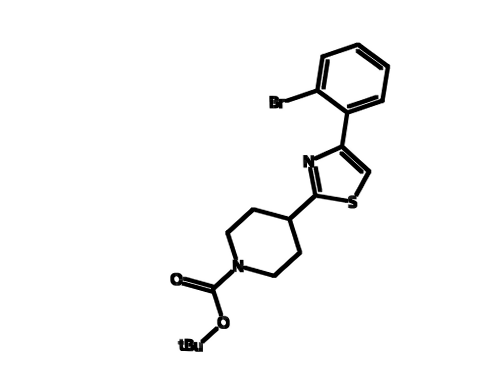 CC(C)(C)OC(=O)N1CCC(c2nc(-c3ccccc3Br)cs2)CC1